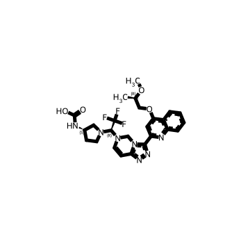 CO[C@H](C)COc1cc(-c2nnc3n2CN([C@@H](N2CC[C@H](NC(=O)O)C2)C(F)(F)F)C=C3)nc2ccccc12